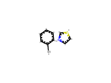 CCc1ccccc1.c1cscn1